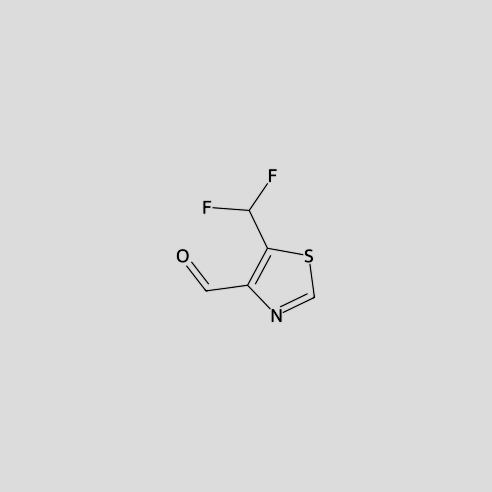 O=Cc1ncsc1C(F)F